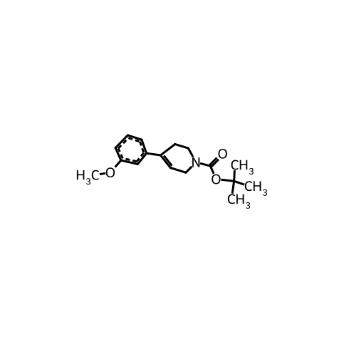 COc1cccc(C2=CCN(C(=O)OC(C)(C)C)CC2)c1